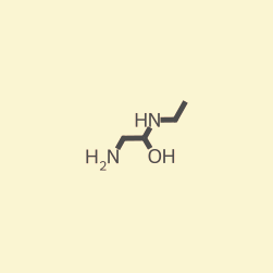 CCNC(O)CN